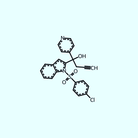 C#CCC(O)(c1ccncc1)c1cc2ccccc2n1S(=O)(=O)c1ccc(Cl)cc1